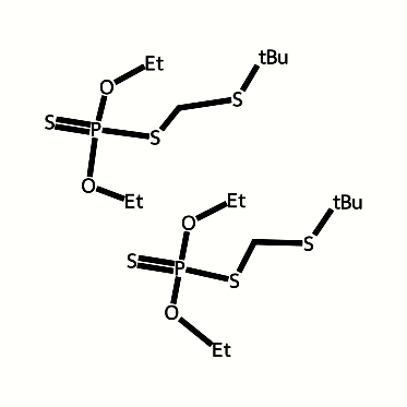 CCOP(=S)(OCC)SCSC(C)(C)C.CCOP(=S)(OCC)SCSC(C)(C)C